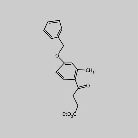 CCOC(=O)CCC(=O)c1ccc(OCc2ccccc2)cc1C